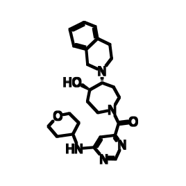 O=C(c1cc(NC2CCOCC2)ncn1)N1CC[C@@H](O)[C@H](N2CCc3ccccc3C2)CC1